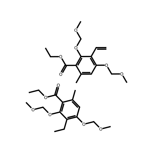 C=Cc1c(OCOC)cc(C)c(C(=O)OCC)c1OCOC.CCOC(=O)c1c(C)cc(OCOC)c(CC)c1OCOC